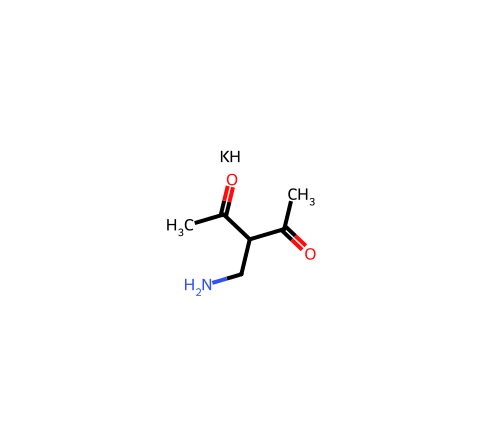 CC(=O)C(CN)C(C)=O.[KH]